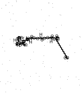 COC(=O)CCCCCCCCCCCCCCCCC(=O)N[C@@H](CCC(=O)NCCOCCOCC(=O)NCCOCCOCC(=O)NCc1ncc(-c2cc(C)c3c(c2)c(C(C)=O)nn3CC(=O)N2[C@H](C(=O)Nc3nc(Br)ccc3C)C[C@@]3(C)C[C@@H]23)cn1)C(=O)OC